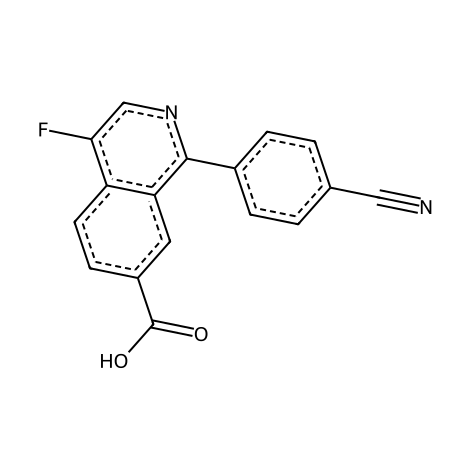 N#Cc1ccc(-c2ncc(F)c3ccc(C(=O)O)cc23)cc1